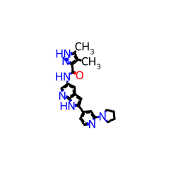 Cc1[nH]nc(C(=O)Nc2cnc3[nH]c(-c4ccnc(N5CCCC5)c4)cc3c2)c1C